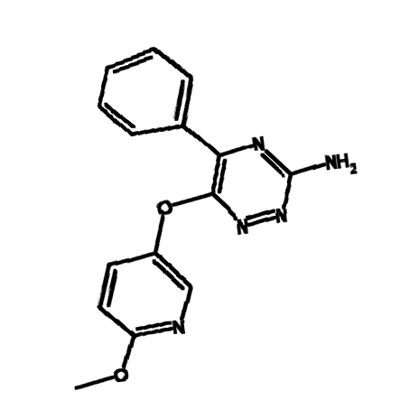 COc1ccc(Oc2nnc(N)nc2-c2ccccc2)cn1